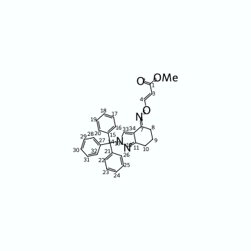 COC(=O)C=CO/N=C1\CCCc2nn(C(c3ccccc3)(c3ccccc3)c3ccccc3)cc21